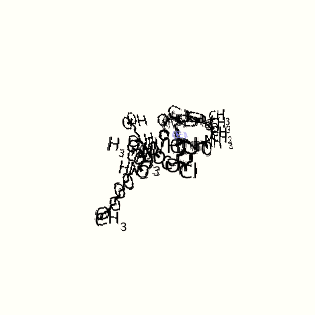 COCCOCCOCCOCCNC(=O)CC[C@H](NC(=O)[C@@H](NC(=O)CCCC(=O)O)C(C)C)C(=O)NCc1ccc([C@H]2O[C@@H]2[C@@H](C)[C@@H]2C/C=C/C(=O)N[C@H](Cc3ccc(OC)c(Cl)c3)C(=O)NCC(C)(C)C(=O)O[C@@H](CC(C)C)C(=O)O2)cc1